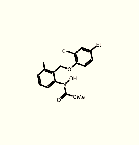 CCc1ccc(OCc2c(I)cccc2N(O)C(=O)OC)c(Cl)c1